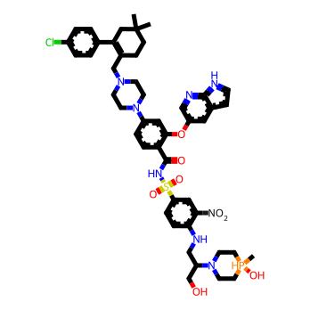 CC1(C)CCC(CN2CCN(c3ccc(C(=O)NS(=O)(=O)c4ccc(NCC(CO)N5CC[PH](C)(O)CC5)c([N+](=O)[O-])c4)c(Oc4cnc5[nH]ccc5c4)c3)CC2)=C(c2ccc(Cl)cc2)C1